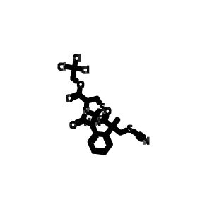 CC(CSC#N)(C(N)=O)c1ccccc1C1C(=O)N2C(C(=O)OCC(Cl)(Cl)Cl)CS[C@@H]12